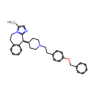 O=C(O)c1cnc2n1CCc1ccccc1C2=C1CCN(CCc2ccc(OCc3ccccc3)cc2)CC1